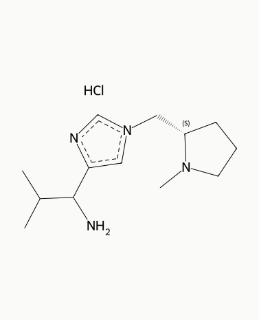 CC(C)C(N)c1cn(C[C@@H]2CCCN2C)cn1.Cl